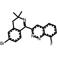 CC1(C)Cc2cc(Br)ccc2C(c2cc3cccc(F)c3nn2)=N1